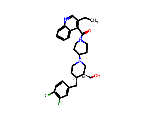 CCc1cnc2ccccc2c1C(=O)N1CCC(N2CC[C@H](Cc3ccc(Cl)c(Cl)c3)[C@H](CO)C2)CC1